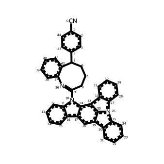 N#Cc1ccc(C2CCC/C(n3c4ccccc4c4cc5c6ccccc6n6c7ccccc7c(c43)c56)=N\c3ccccc32)cc1